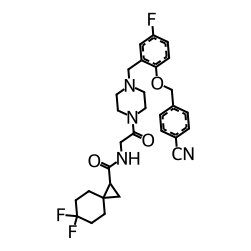 N#Cc1ccc(COc2ccc(F)cc2CN2CCN(C(=O)CNC(=O)C3CC34CCC(F)(F)CC4)CC2)cc1